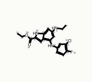 CCNc1cc(Nc2ccc(F)c(Cl)c2)c2cc(C(=O)OCC)[nH]c2c1